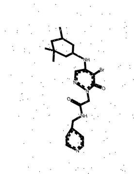 CC1CC(Nc2cnn(CC(=O)NCc3ccncc3)c(=O)c2Br)CC(C)(C)C1